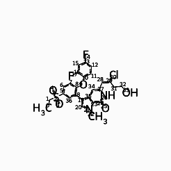 CCS(=O)(=O)c1ccc(Oc2ccc(F)cc2F)c(-c2cn(C)c3c(=O)[nH]c(/C=C(/Cl)CCO)cc23)c1